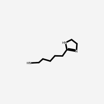 [NH]CCCCCC1=NCCN1